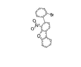 O=[N+]([O-])c1c(-c2ccccc2Br)ccc2c1oc1ccccc12